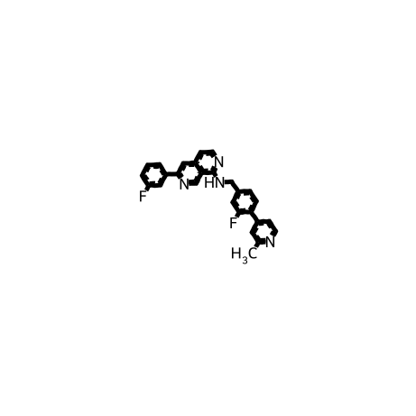 Cc1cc(-c2ccc(CNc3nccc4cc(-c5cccc(F)c5)ncc34)cc2F)ccn1